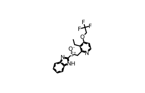 CCc1c(OCC(F)(F)F)ccnc1C[S+]([O-])c1nc2ccccc2[nH]1